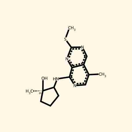 CSc1ncc2c(C)cnc(NC3CCC[C@@]3(C)O)c2n1